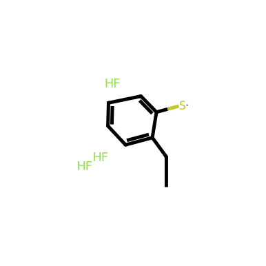 CCc1ccccc1[S].F.F.F